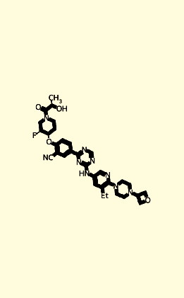 CCc1cc(Nc2ncnc(-c3ccc(O[C@H]4CCN(C(=O)[C@H](C)O)C[C@H]4F)c(C#N)c3)n2)cnc1N1CCN(C2COC2)CC1